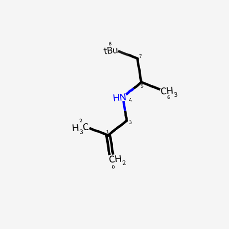 C=C(C)CNC(C)CC(C)(C)C